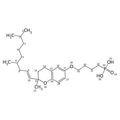 CC(C)CCCC(C)CC=CC1(C)CCc2cc(OCCCCP(=O)(O)O)ccc2O1